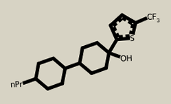 CCCC1CCC(C2CCC(O)(c3ccc(C(F)(F)F)s3)CC2)CC1